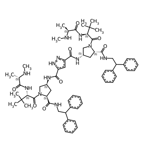 CN[C@@H](C)C(=O)N[C@H](C(=O)N1C[C@@H](NC(=O)c2cc(C(=O)N[C@H]3C[C@@H](C(=O)NCC(c4ccccc4)c4ccccc4)N(C(=O)[C@@H](NC(=O)[C@H](C)NC)C(C)(C)C)C3)[nH]n2)C[C@H]1C(=O)NCC(c1ccccc1)c1ccccc1)C(C)(C)C